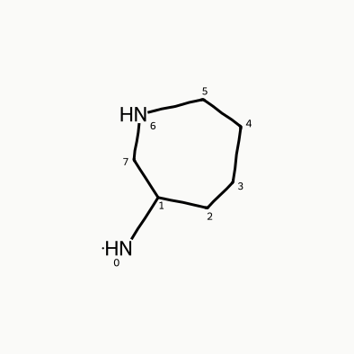 [NH]C1CCCCNC1